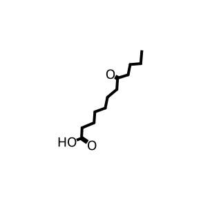 CCCCC(=O)CCCCCCC(=O)O